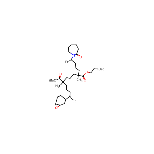 CCCCCCCCCCCCOC(=O)C(C)(CCCC(CC)N1CCCCCC1=O)CCCC(C)(CCCC(CC)C1CCC2OC2C1)C(=O)OCC(C)C